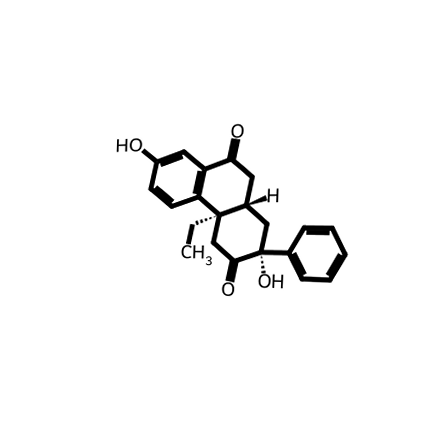 CC[C@@]12CC(=O)[C@](O)(c3ccccc3)C[C@H]1CC(=O)c1cc(O)ccc12